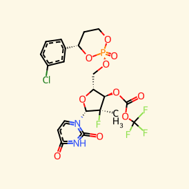 C[C@@]1(F)[C@H](OC(=O)OC(F)(F)F)[C@@H](CO[P@@]2(=O)OCC[C@@H](c3cccc(Cl)c3)O2)O[C@H]1n1ccc(=O)[nH]c1=O